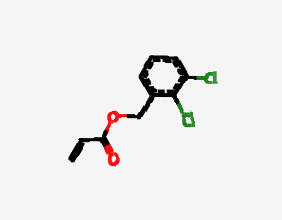 C=CC(=O)OCc1cccc(Cl)c1Cl